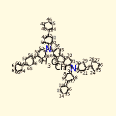 CC1(C)c2cc(N(c3ccc(-c4ccccc4)cc3)c3ccc(-c4ccccc4)cc3)ccc2-c2ccc(N(c3ccc(-c4ccccc4)cc3)c3ccc(-c4ccc(-c5ccccc5)cc4)cc3)cc21